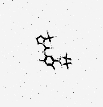 Cc1cc(F)c(NC(=O)N2CCCC2C(F)(F)F)cc1B1OC(C)(C)C(C)(C)O1